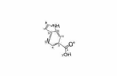 O=C(O)c1cnc2cc[nH]c2c1